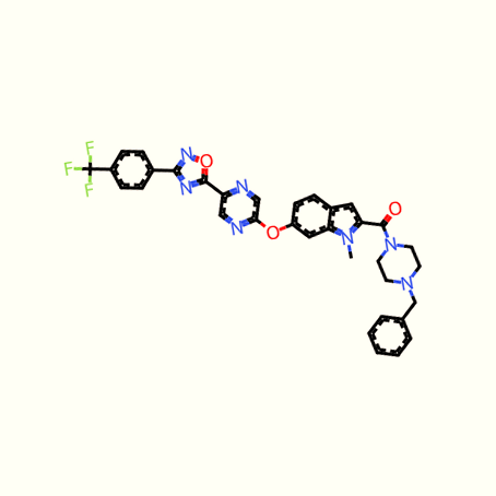 Cn1c(C(=O)N2CCN(Cc3ccccc3)CC2)cc2ccc(Oc3cnc(-c4nc(-c5ccc(C(F)(F)F)cc5)no4)cn3)cc21